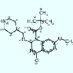 COc1ccc2c(c1)N(C(=O)OC(C)(C)C)C(OCC1CCNCC1)N=C2Cl